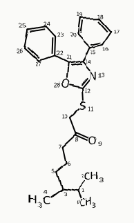 CC(C)C(C)CCCC(=O)CSc1nc(-c2ccccc2)c(-c2ccccc2)o1